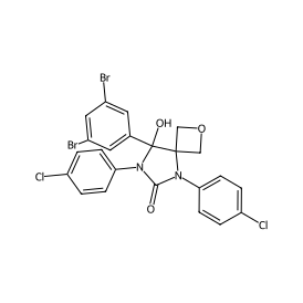 O=C1N(c2ccc(Cl)cc2)C2(COC2)C(O)(c2cc(Br)cc(Br)c2)N1c1ccc(Cl)cc1